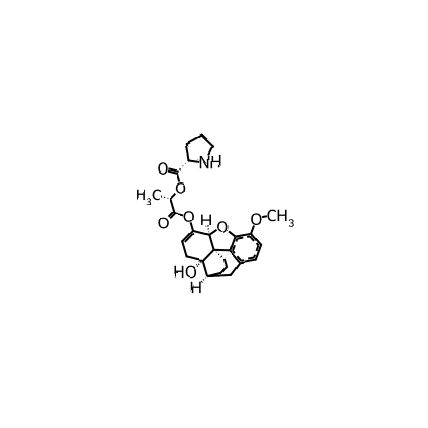 COc1ccc2c3c1O[C@@H]1C(OC(=O)[C@H](C)OC(=O)[C@@H]4CCCN4)=CC[C@]4(O)[C@@H](CCC[C@@]314)C2